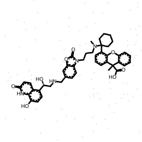 CN(CCCn1c(=O)oc2cc(CNC[C@H](O)c3ccc(O)c4[nH]c(=O)ccc34)ccc21)C1(c2cccc3c2Oc2ccccc2C3(C)C(=O)O)CCCCC1